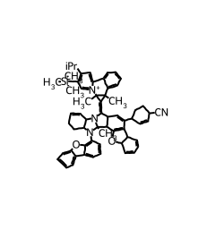 CC(C)c1cc2[n+](cc1[Si](C)(C)C)C1(C)/C(=C3/C4C=C(C5C=CC(C#N)CC5)C5=C(OC6C=CC=CC56)C4C4(C)N3C3C=CCCC3N4c3cccc4c3oc3ccccc34)C1(C)c1ccccc1-2